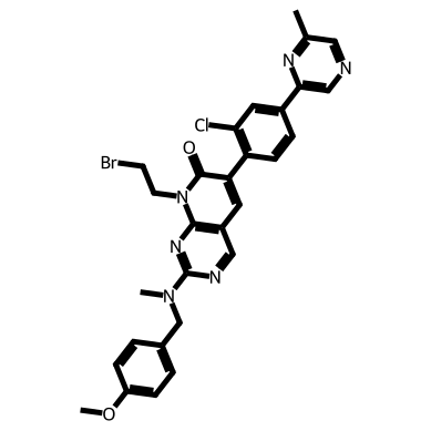 COc1ccc(CN(C)c2ncc3cc(-c4ccc(-c5cncc(C)n5)cc4Cl)c(=O)n(CCBr)c3n2)cc1